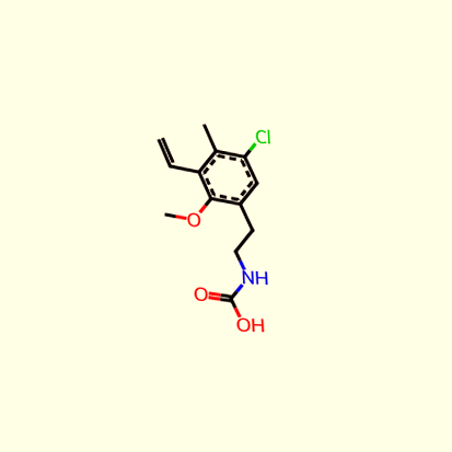 C=Cc1c(C)c(Cl)cc(CCNC(=O)O)c1OC